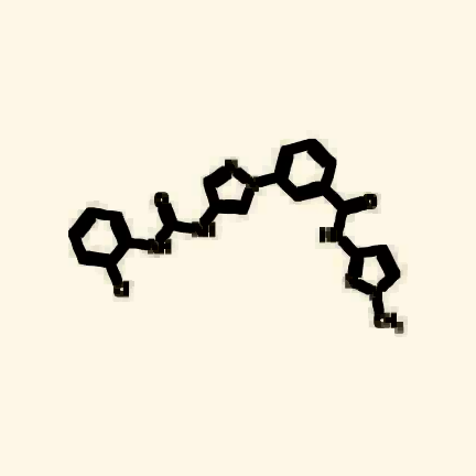 Cn1ccc(NC(=O)c2cccc(-n3cc(NC(=O)Nc4ccccc4Cl)cn3)c2)n1